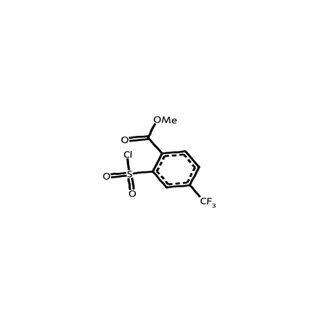 COC(=O)c1ccc(C(F)(F)F)cc1S(=O)(=O)Cl